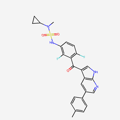 Cc1ccc(-c2cnc3[nH]cc(C(=O)c4c(F)ccc(NS(=O)(=O)N(C)C5CC5)c4F)c3c2)cc1